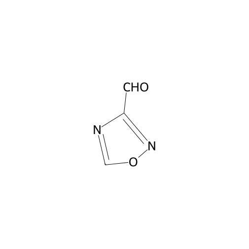 O=Cc1ncon1